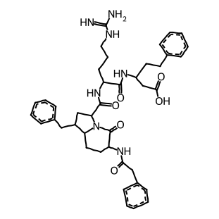 N=C(N)NCCCC(NC(=O)C1CC(Cc2ccccc2)C2CCC(NC(=O)Cc3ccccc3)C(=O)N12)C(=O)NC(CCc1ccccc1)CC(=O)O